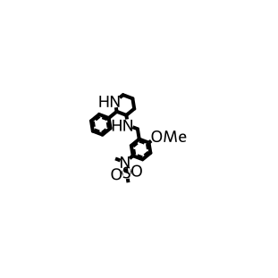 COc1ccc(N(C)S(C)(=O)=O)cc1CNC1CCCNC1c1ccccc1